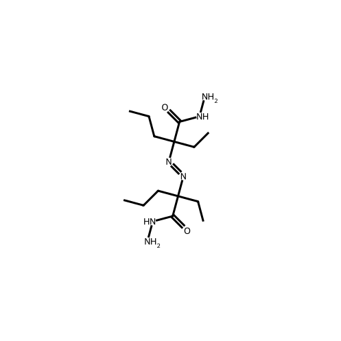 CCCC(CC)(N=NC(CC)(CCC)C(=O)NN)C(=O)NN